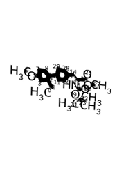 CCc1cc(OC)ccc1-c1ccc(C[C@H](NC(=O)OC(C)(C)C)C(=O)OC)cc1